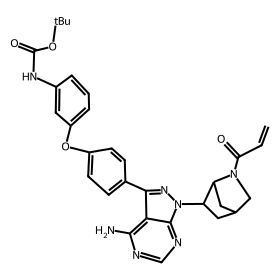 C=CC(=O)N1CC2CC1C(n1nc(-c3ccc(Oc4cccc(NC(=O)OC(C)(C)C)c4)cc3)c3c(N)ncnc31)C2